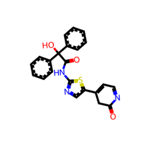 O=C1CC(c2cnc(NC(=O)C(O)(c3ccccc3)c3ccccc3)s2)=CC=N1